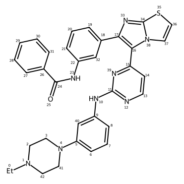 CCN1CCN(c2cccc(Nc3nccc(-c4c(-c5cccc(NC(=O)c6ccccc6)c5)nc5sccn45)n3)c2)CC1